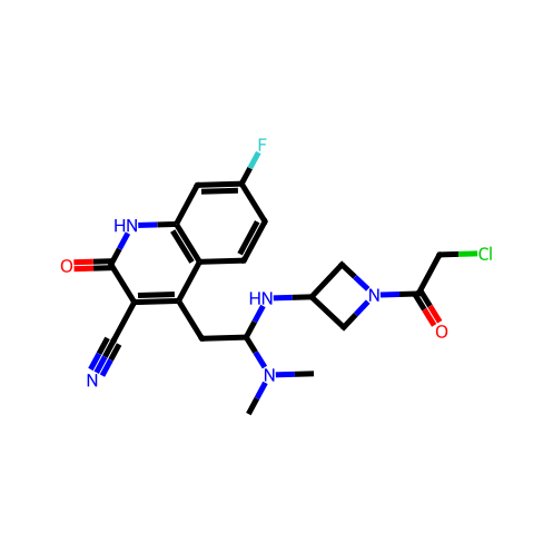 CN(C)C(Cc1c(C#N)c(=O)[nH]c2cc(F)ccc12)NC1CN(C(=O)CCl)C1